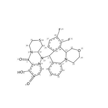 O=C1c2c(O)c(=O)ccn2N(C2c3ccccc3N3CCOCC3c3c2ccc(F)c3F)C2CSCCN12